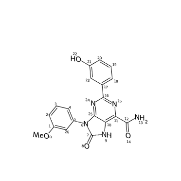 COc1cccc(-n2c(=O)[nH]c3c(C(N)=O)nc(-c4cccc(O)c4)nc32)c1